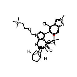 Cn1cc2c(Cl)c(-c3cn(COCC[Si](C)(C)C)c4nc(N5[C@H]6CC[C@@H]5[C@](C)(NC(=O)OC(C)(C)C)C6)n(C)c(=O)c34)ccc2n1